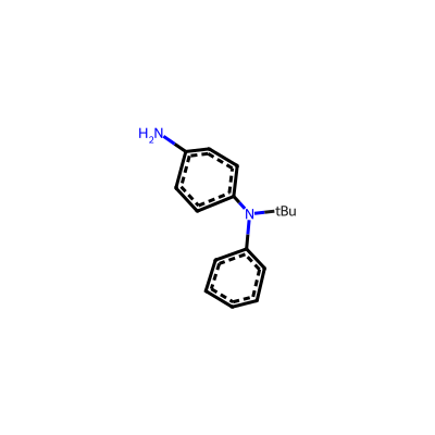 CC(C)(C)N(c1ccccc1)c1ccc(N)cc1